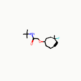 CC1(F)C#CCCC(OCC(=O)NC(C)(C)C)CC1